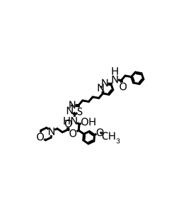 COc1cccc(C(OC(=O)CCN2CCOCC2)C(O)Nc2nnc(CCCCc3ccc(NC(=O)Cc4ccccc4)nn3)s2)c1